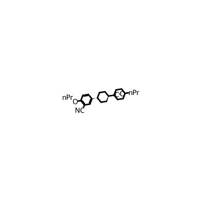 CCCOc1ccc([C@H]2CC[C@H](C34CCC(CCC)(CC3)CC4)CC2)cc1C#N